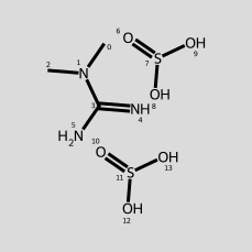 CN(C)C(=N)N.O=S(O)O.O=S(O)O